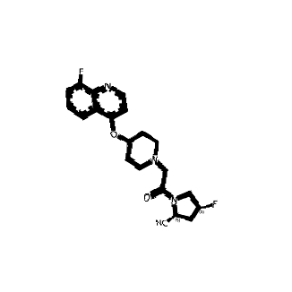 N#C[C@@H]1C[C@H](F)CN1C(=O)CN1CCC(Oc2ccnc3c(F)cccc23)CC1